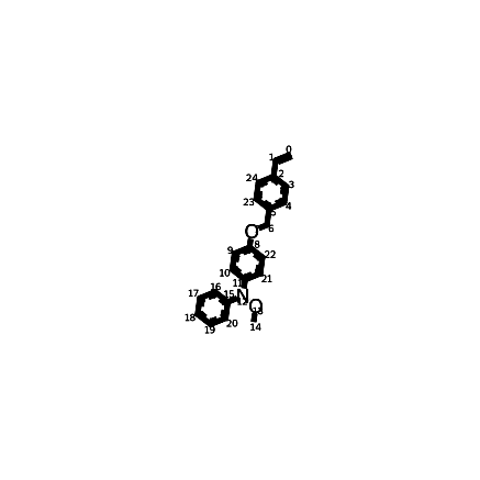 C=Cc1ccc(COc2ccc(N(OC)c3ccccc3)cc2)cc1